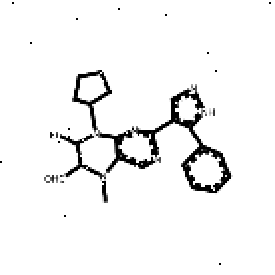 CCC1C(C=O)N(C)c2cnc(-c3cn[nH]c3-c3ccccc3)nc2N1C1CCCC1